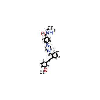 CCOc1cccc(C#Cc2ccccc2CN2CCN(c3ccc(C(=O)NCC(F)(F)F)cc3)CC2)c1